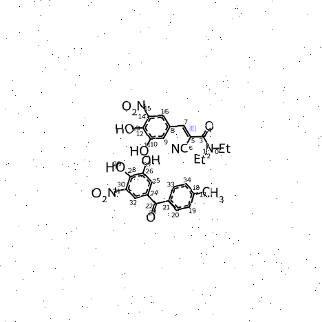 CCN(CC)C(=O)/C(C#N)=C/c1cc(O)c(O)c([N+](=O)[O-])c1.Cc1ccc(C(=O)c2cc(O)c(O)c([N+](=O)[O-])c2)cc1